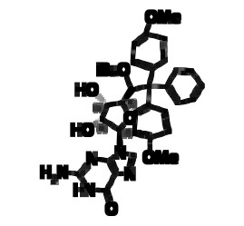 COc1ccc(C(c2ccccc2)(c2ccc(OC)cc2)C(OCC(C)C)[C@H]2O[C@@H](n3cnc4c(=O)[nH]c(N)nc43)[C@H](O)[C@@H]2O)cc1